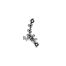 CC1(C)S[C@@H]2[C@H](NC(=O)COc3ccccc3)C(=O)N2[C@H]1C(=O)OCOC(=O)CCCC(=O)OCc1ccccc1